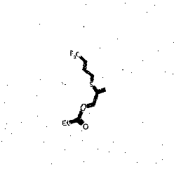 CCC(=O)OCC(C)SCCCC(F)(F)F